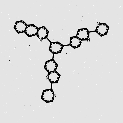 c1ccc(-c2ccc3cc(-c4cc(-c5ccc6nc(-c7ccccn7)ccc6c5)cc(-c5ccc6cc7ccccc7cc6n5)c4)ccc3n2)nc1